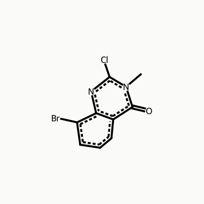 Cn1c(Cl)nc2c(Br)cccc2c1=O